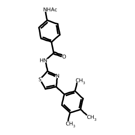 CC(=O)Nc1ccc(C(=O)Nc2nc(-c3cc(C)c(C)cc3C)cs2)cc1